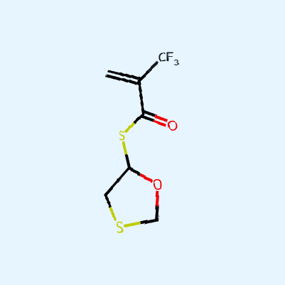 C=C(C(=O)SC1CSCO1)C(F)(F)F